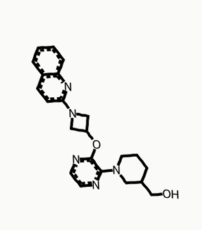 OCC1CCCN(c2nccnc2OC2CN(c3ccc4ccccc4n3)C2)C1